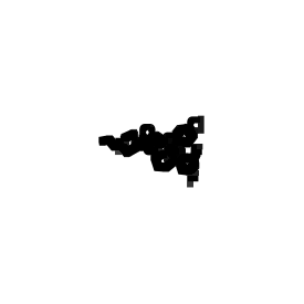 CCCN1CCN(C(=O)OC2([C@H]3CCC[C@@H](c4cc(F)cc(F)c4)N3S(=O)(=O)c3ccc(Cl)cc3)CC2)CC1